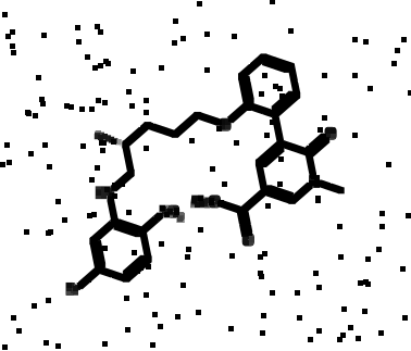 COC(=O)c1cc(-c2ccccc2OCCC[C@@H](C)CNc2cc(Br)ccc2[N+](=O)[O-])c(=O)n(C)c1